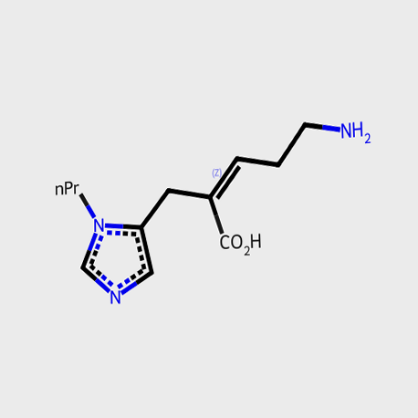 CCCn1cncc1C/C(=C/CCN)C(=O)O